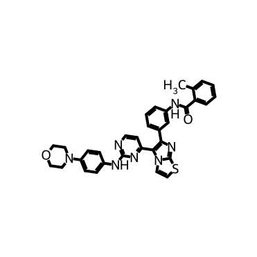 Cc1ccccc1C(=O)Nc1cccc(-c2nc3sccn3c2-c2ccnc(Nc3ccc(N4CCOCC4)cc3)n2)c1